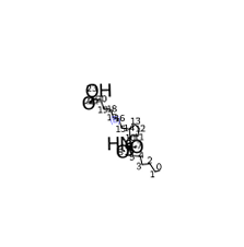 CCCCCCS(=O)(=O)NC1CCCC1C/C=C/CCCC(=O)O